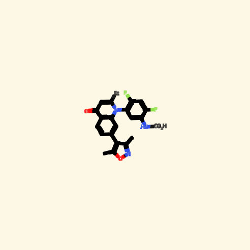 CCc1cc(=O)c2ccc(-c3c(C)noc3C)cc2n1-c1cc(NC(=O)O)c(F)cc1F